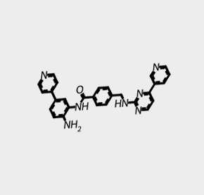 Nc1ccc(-c2ccncc2)cc1NC(=O)c1ccc(CNc2nccc(-c3cccnc3)n2)cc1